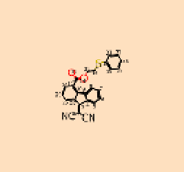 N#CC(C#N)=C1c2ccccc2-c2c(C(=O)OCCSc3ccccc3)cccc21